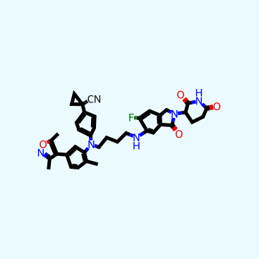 Cc1ccc(-c2c(C)noc2C)cc1N(CCCCNc1cc2c(cc1F)CN(C1CCC(=O)NC1=O)C2=O)c1ccc(C2(C#N)CC2)cc1